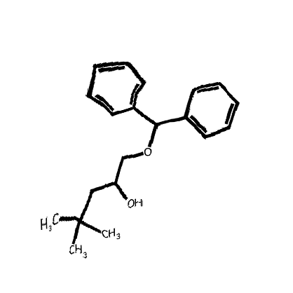 CC(C)(C)CC(O)COC(c1ccccc1)c1ccccc1